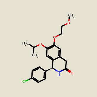 COCCOc1cc2c(cc1OC(C)C)[C@H](c1ccc(Cl)cc1)NC(=O)C2